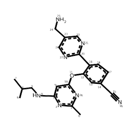 Cc1nc(NCC(C)C)cc(Oc2cc(C#N)ccc2-c2ncc(CN)cn2)n1